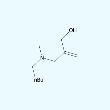 C=C(CO)CN(C)CCCCC